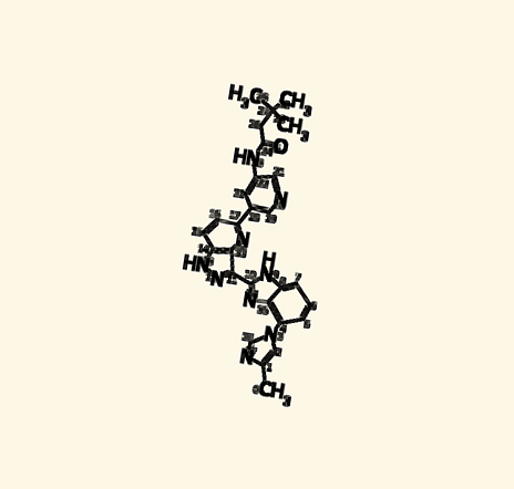 Cc1cn(-c2cccc3[nH]c(-c4n[nH]c5ccc(-c6cncc(NC(=O)CC(C)(C)C)c6)nc45)nc23)cn1